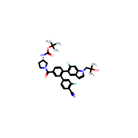 CC(C)(O)Cn1ccc2cc(-c3ccc(C(=O)N4CC[C@H](NC(=O)OC(C)(C)C)C4)cc3-c3ccc(C#N)c(F)c3)c(F)cc21